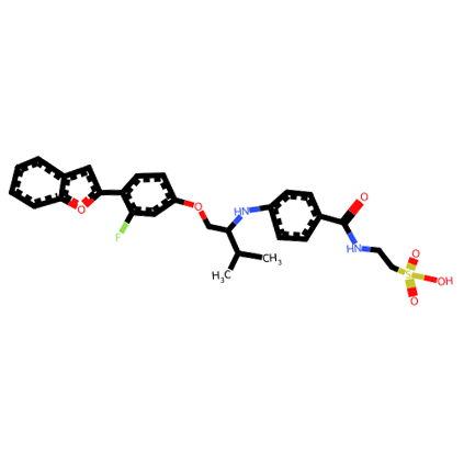 CC(C)C(COc1ccc(-c2cc3ccccc3o2)c(F)c1)Nc1ccc(C(=O)NCCS(=O)(=O)O)cc1